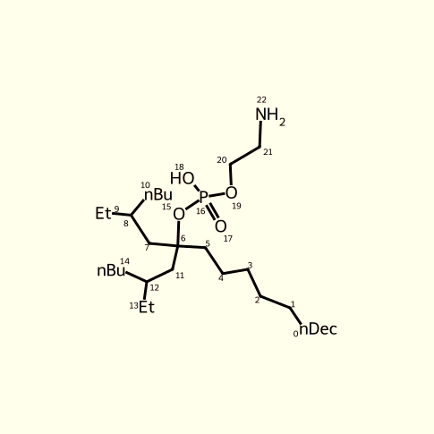 CCCCCCCCCCCCCCCC(CC(CC)CCCC)(CC(CC)CCCC)OP(=O)(O)OCCN